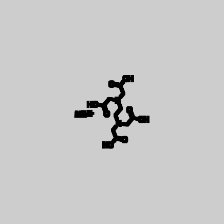 O=C(O)CN(CCN(CC(=O)O)CC(=O)O)CC(=O)O.[K].[K].[Mn]